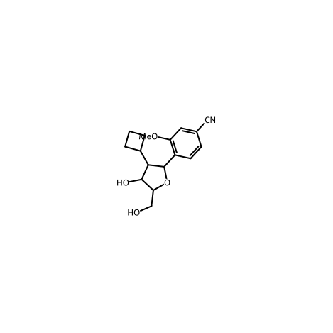 COc1cc(C#N)ccc1C1OC(CO)C(O)C1C1CCC1